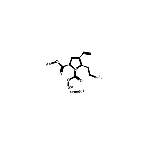 C=C[C@@H]1C[C@H](C(=O)OC(C)(C)C)N(C(=O)OC(C)(C)C)[C@@H]1CCN.CC(N)=O